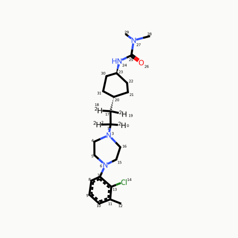 [2H]C([2H])(N1CCN(c2cccc(C)c2Cl)CC1)C([2H])([2H])[C@H]1CC[C@H](NC(=O)N(C)C)CC1